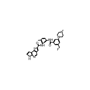 Cc1ccc(NC(=O)c2cc(CF)cc(N3CCN(C)CC3)c2)cc1NC(=O)c1cc2cnc3[nH]ccc3c2s1